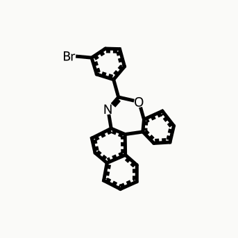 Brc1cccc(C2=Nc3ccc4ccccc4c3-c3ccccc3O2)c1